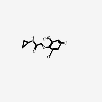 O=Cc1cc(Cl)cc(Cl)c1OCC(=O)NC1CC1